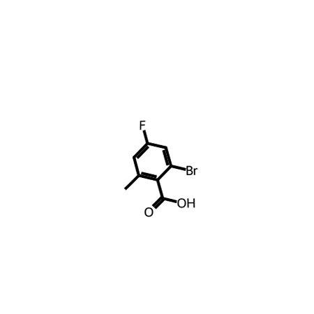 Cc1cc(F)cc(Br)c1C(=O)O